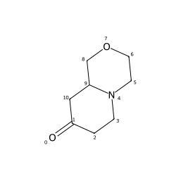 O=C1CCN2CCOCC2C1